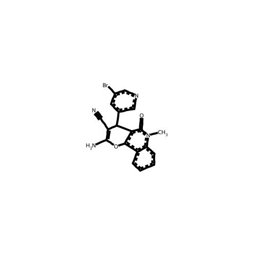 Cn1c(=O)c2c(c3ccccc31)OC(N)=C(C#N)C2c1cncc(Br)c1